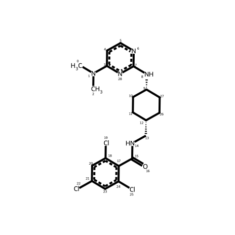 CN(C)c1ccnc(N[C@H]2CC[C@@H](CNC(=O)c3c(Cl)cc(Cl)cc3Cl)CC2)n1